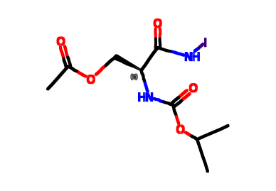 CC(=O)OC[C@H](NC(=O)OC(C)C)C(=O)NI